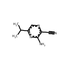 CC(C)c1cnc(C#N)c(N)n1